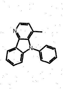 Cc1ccnc2c3ccccc3n(-c3ccccc3)c12